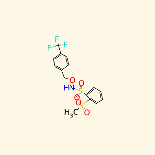 CS(=O)(=O)c1ccccc1S(=O)(=O)NOCc1ccc(C(F)(F)F)cc1